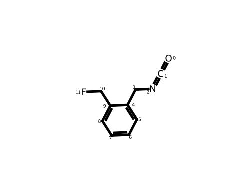 O=C=NCc1ccccc1CF